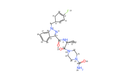 CC(C)(C)[C@H](NC(=O)c1nn(CC2C=CC(F)=CC2)c2ccccc12)C(=O)N1CCN(C(N)=O)CC1